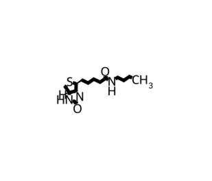 CCCCNC(=O)CCCC[C@@H]1SC[C@@H]2NC(=O)N=C21